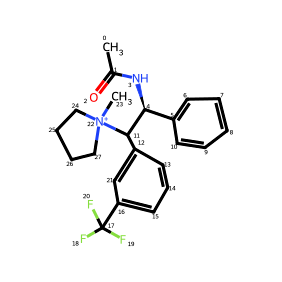 CC(=O)N[C@@H](c1ccccc1)C(c1cccc(C(F)(F)F)c1)[N+]1(C)CCCC1